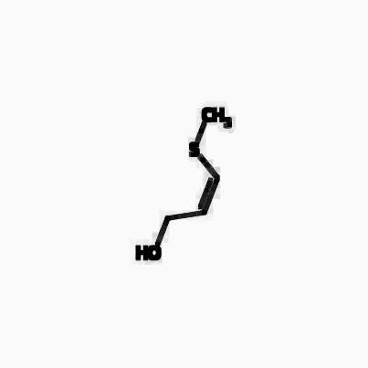 CS/C=C\CO